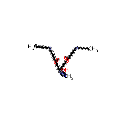 CCCCCCCC/C=C\CCCCCCCC(=O)OCCCCCC(O)C(CCCCOC(=O)CCCCCCC/C=C\CCCCCCCC)CN1CCN(C)CC1